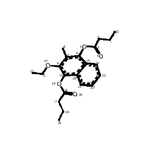 CCCC(=O)Oc1c(C)c(OCC)c(OC(=O)CCC)c2ccccc12